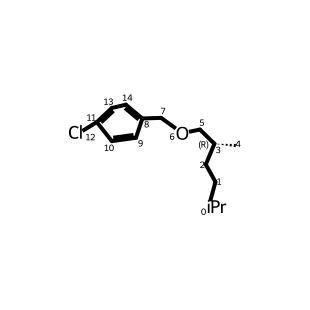 CC(C)CC[C@@H](C)COCc1ccc(Cl)cc1